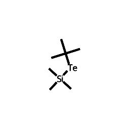 CC(C)(C)[Te][Si](C)(C)C